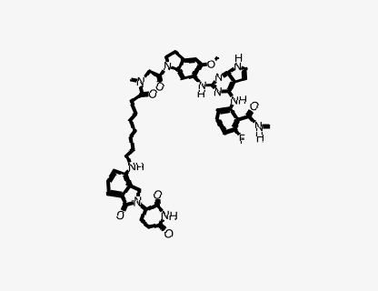 CNC(=O)c1c(F)cccc1Nc1nc(Nc2cc3c(cc2OC)CCN3C(=O)CN(C)C(=O)CCCCCCCNc2cccc3c2CN(C2CCC(=O)NC2=O)C3=O)nc2[nH]ccc12